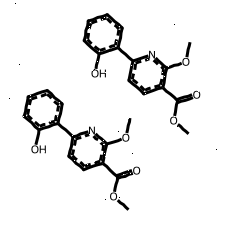 COC(=O)c1ccc(-c2ccccc2O)nc1OC.COC(=O)c1ccc(-c2ccccc2O)nc1OC